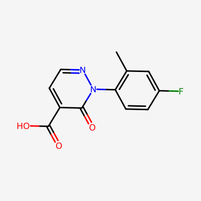 Cc1cc(F)ccc1-n1nccc(C(=O)O)c1=O